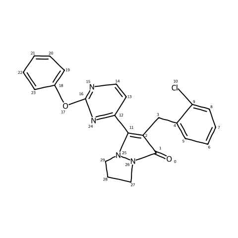 O=c1c(Cc2ccccc2Cl)c(-c2ccnc(Oc3ccccc3)n2)n2n1CCC2